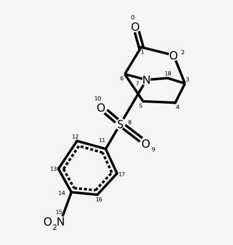 O=C1OC2CCC1N(S(=O)(=O)c1ccc([N+](=O)[O-])cc1)C2